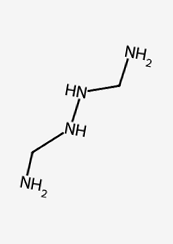 NCNNCN